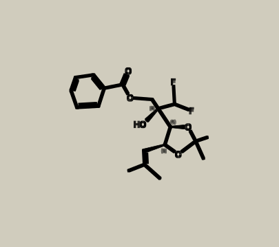 CC(C)=C[C@@H]1OC(C)(C)O[C@@H]1[C@](O)(COC(=O)c1ccccc1)C(F)F